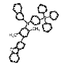 Cc1cc(N(c2ccc([Si](c3ccccc3)(c3ccccc3)c3ccccc3)cc2)c2ccc3ccccc3c2)c(C)cc1-c1ccc2c(c1)oc1ccccc12